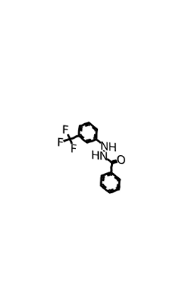 O=C(NNc1cccc(C(F)(F)F)c1)c1ccccc1